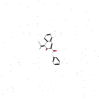 CC(C)=C1C(=O)C(C(=O)Nc2ccccc2)=Cc2ccccc21